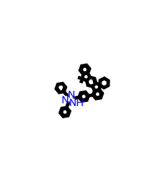 CC1(C)c2ccccc2C2C=C3C(CC21)c1c(-c2ccc(C4=NC(C5=CCCC=C5)=NC(c5ccccc5)N4)cc2)cccc1C31CCCCC1